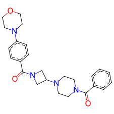 O=C(c1ccccc1)N1CCN(C2CN(C(=O)c3ccc(N4CCOCC4)cc3)C2)CC1